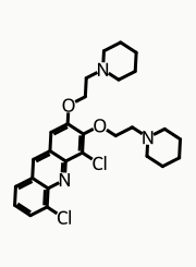 Clc1cccc2cc3cc(OCCN4CCCCC4)c(OCCN4CCCCC4)c(Cl)c3nc12